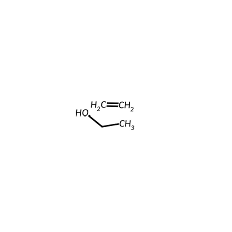 C=C.CCO